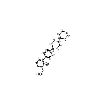 OCc1cccc(-c2cnc(N3CCC(C4CCOCC4)CC3)nc2)c1F